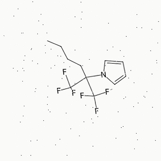 CCCCC(n1cccc1)(C(F)(F)F)C(F)(F)F